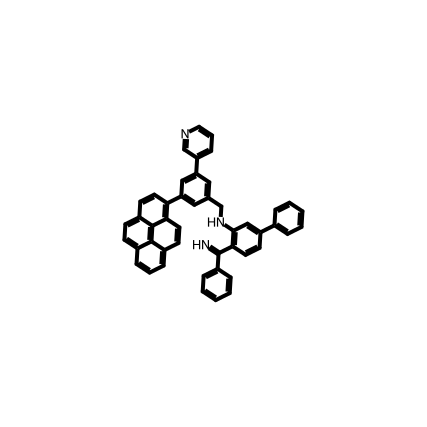 N=C(c1ccccc1)c1ccc(-c2ccccc2)cc1NCc1cc(-c2cccnc2)cc(-c2ccc3ccc4cccc5ccc2c3c45)c1